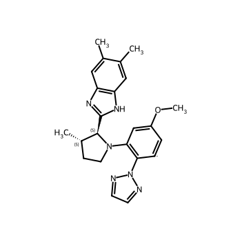 COc1c[c]c(-n2nccn2)c(N2CC[C@H](C)[C@H]2c2nc3cc(C)c(C)cc3[nH]2)c1